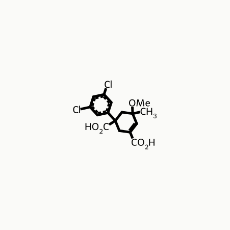 COC1(C)C=C(C(=O)O)CC(C(=O)O)(c2cc(Cl)cc(Cl)c2)C1